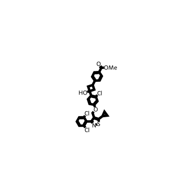 COC(=O)c1ccc(C2CC(O)(c3ccc(OCc4c(-c5c(Cl)cccc5Cl)nsc4C4CC4)cc3Cl)C2)cc1